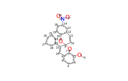 COc1cccc2c1OC1(C=Cc3cc([N+](=O)[O-])ccc3O1)C(c1ccccc1)=C2